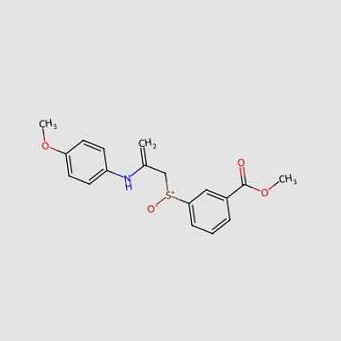 C=C(C[S+]([O-])c1cccc(C(=O)OC)c1)Nc1ccc(OC)cc1